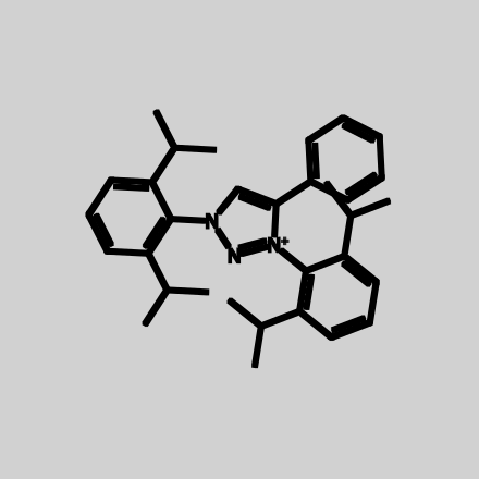 CC(C)c1cccc(C(C)C)c1-n1cc(-c2ccccc2)[n+](-c2c(C(C)C)cccc2C(C)C)n1